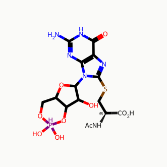 CC(=O)N[C@@H](CSc1nc2c(=O)[nH]c(N)nc2n1C1OC2CO[PH](O)(O)OC2C1O)C(=O)O